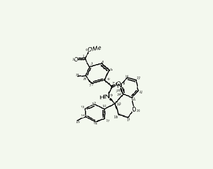 COC(=O)c1ccc(C(=O)N[C@]2(c3ccc(C)cc3)CCOc3cccnc32)cc1C